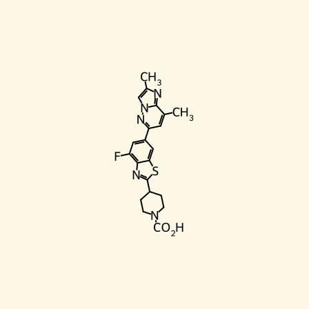 Cc1cn2nc(-c3cc(F)c4nc(C5CCN(C(=O)O)CC5)sc4c3)cc(C)c2n1